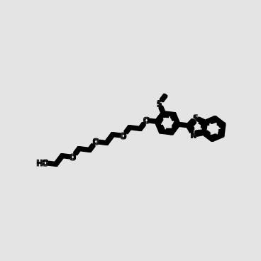 CSc1cc(-c2nc3ccccc3s2)ccc1OCCOCCOCCOCCO